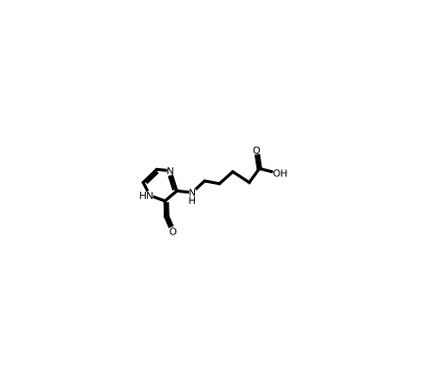 O=C=C1NC=CN=C1NCCCCC(=O)O